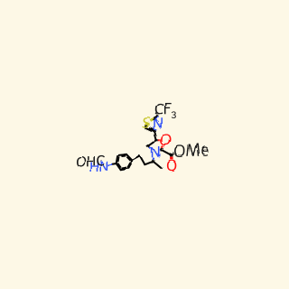 COC(=O)C1OC(c2csc(C(F)(F)F)n2)CN1C(C)CCc1ccc(NC=O)cc1